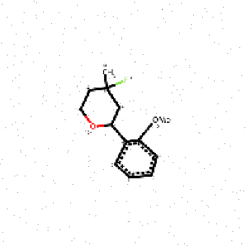 COc1ccccc1C1CC(C)(F)CCO1